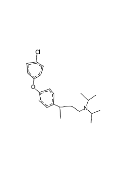 CC(CCN(C(C)C)C(C)C)c1ccc(Oc2ccc(Cl)cc2)cc1